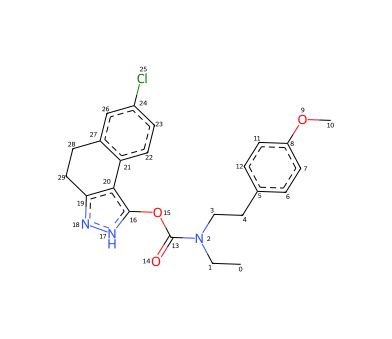 CCN(CCc1ccc(OC)cc1)C(=O)Oc1[nH]nc2c1-c1ccc(Cl)cc1CC2